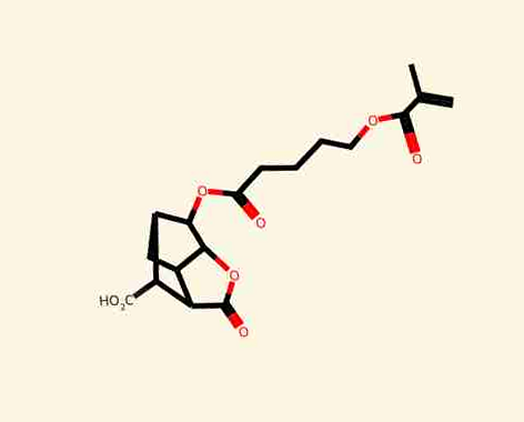 C=C(C)C(=O)OCCCCC(=O)OC1C2CC3C1OC(=O)C3C2C(=O)O